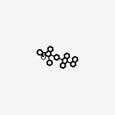 c1ccc(-c2c(-c3ccc(-c4c5ccccc5c(-c5cccc6ccccc56)c5ccccc45)cc3)c3ccccc3c3c2oc2ccccc23)cc1